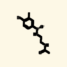 CC(=O)NCCN[S@@+]([O-])c1ccc(Br)c(C)c1